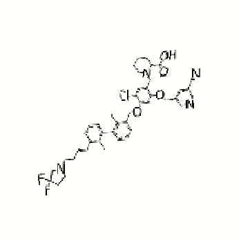 Cc1c(C=CCCN2CCC(F)(F)C2)cccc1-c1cccc(COc2cc(OCc3cncc(C#N)c3)c(CN3CCCCC3C(=O)O)cc2Cl)c1C